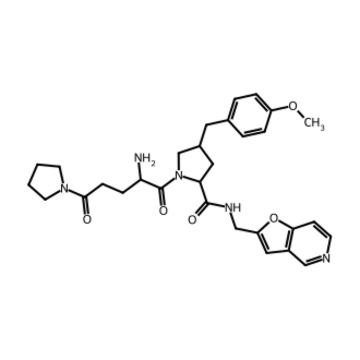 COc1ccc(CC2CC(C(=O)NCc3cc4cnccc4o3)N(C(=O)C(N)CCC(=O)N3CCCC3)C2)cc1